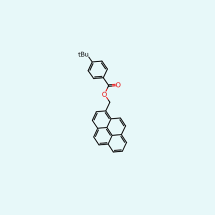 CC(C)(C)c1ccc(C(=O)OCc2ccc3ccc4cccc5ccc2c3c45)cc1